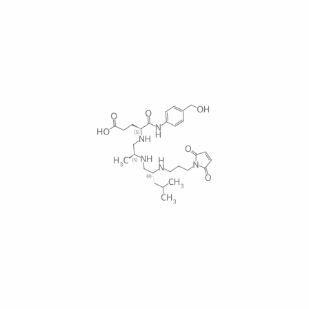 CC(C)C[C@H](CN[C@@H](C)CN[C@@H](CCC(=O)O)C(=O)Nc1ccc(CO)cc1)NCCCN1C(=O)C=CC1=O